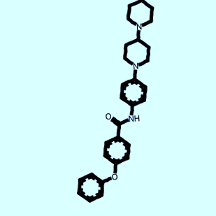 O=C(Nc1ccc(N2CCC(N3CCCCC3)CC2)cc1)c1ccc(Oc2ccccc2)cc1